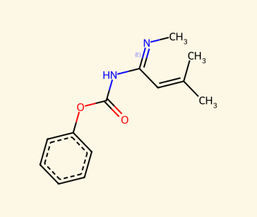 C/N=C(\C=C(C)C)NC(=O)Oc1ccccc1